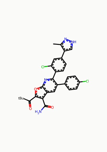 Cc1n[nH]cc1-c1ccc(-c2nc3oc(C(=O)C(C)(C)C)c(C(N)=O)c3cc2-c2ccc(Cl)cc2)c(Cl)c1